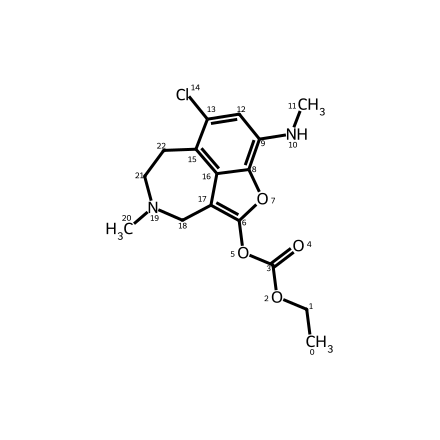 CCOC(=O)Oc1oc2c(NC)cc(Cl)c3c2c1CN(C)CC3